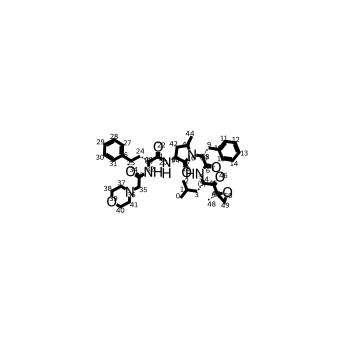 CC(C)C[C@H](NC(=O)[C@@H](Cc1ccccc1)N1C(=O)[C@H](NC(=O)[C@@H](CCc2ccccc2)NC(=O)CN2CCOCC2)CC1C)C(=O)[C@]1(C)CO1